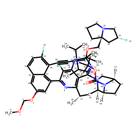 COCOc1cc(-c2nc3c4c(nc(OC[C@@]56CCCN5C[C@H](F)C6)nc4c2F)N2C[C@H]4CC[C@@H]([C@H]2C[C@@H]3C)N4C(=O)OC(C)(C)C)c2c(C#C[Si](C(C)C)(C(C)C)C(C)C)c(F)ccc2c1